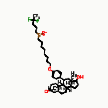 C[C@]12CCC(=O)CC1CC[C@@H]1[C@H]2C(c2ccc(OCCCCCCCC[S+]([O-])CCCC(F)(F)C(F)(F)F)cc2)C[C@]2(C)C(O)CC[C@@H]12